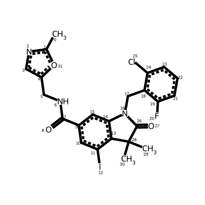 Cc1ncc(CNC(=O)c2cc(I)c3c(c2)N(Cc2c(F)cccc2Cl)C(=O)C3(C)C)o1